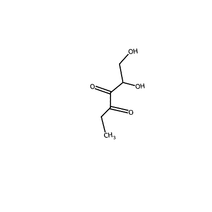 CCC(=O)C(=O)C(O)CO